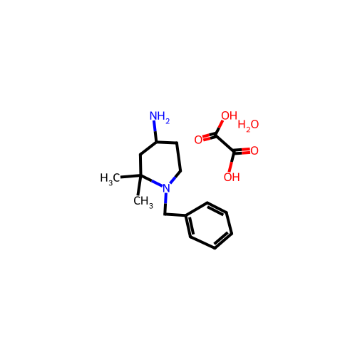 CC1(C)CC(N)CCN1Cc1ccccc1.O.O=C(O)C(=O)O